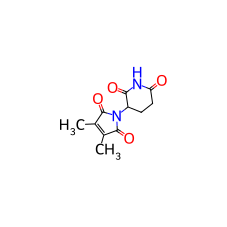 CC1=C(C)C(=O)N(C2CCC(=O)NC2=O)C1=O